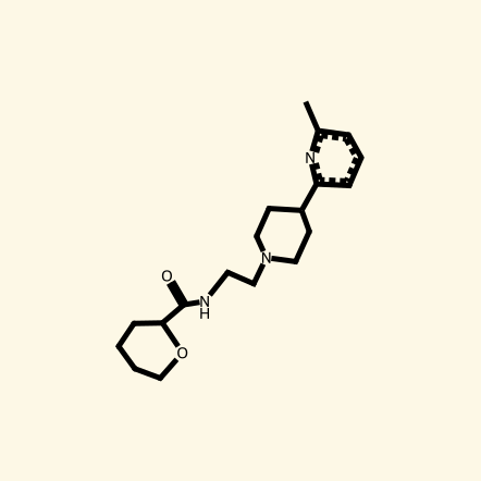 Cc1cccc(C2CCN(CCNC(=O)C3CCCCO3)CC2)n1